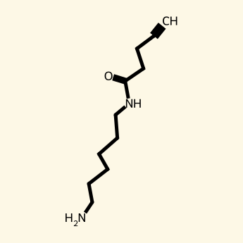 C#CCCC(=O)NCCCCCCN